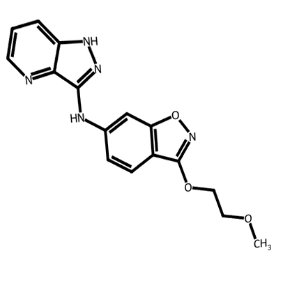 COCCOc1noc2cc(Nc3n[nH]c4cccnc34)ccc12